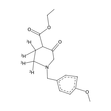 [2H]C1([2H])C(C(=O)OCC)C(=O)CN(Cc2ccc(OC)cc2)C1([2H])[2H]